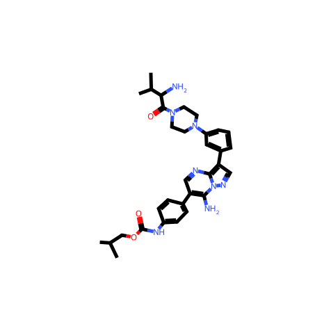 CC(C)COC(=O)Nc1ccc(-c2cnc3c(-c4cccc(N5CCN(C(=O)C(N)C(C)C)CC5)c4)cnn3c2N)cc1